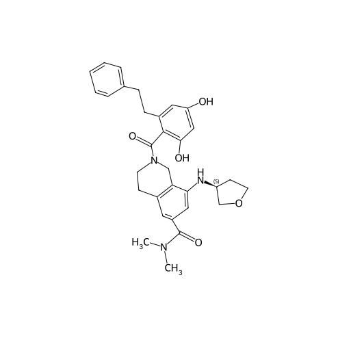 CN(C)C(=O)c1cc2c(c(N[C@H]3CCOC3)c1)CN(C(=O)c1c(O)cc(O)cc1CCc1ccccc1)CC2